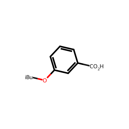 CCC(C)Oc1cccc(C(=O)O)c1